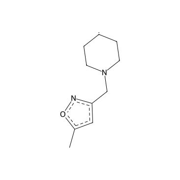 Cc1cc(CN2CC[CH]CC2)no1